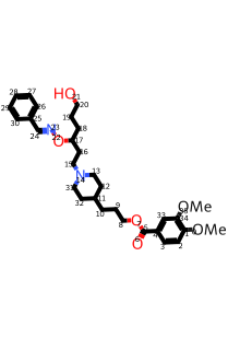 COc1ccc(C(=O)OCCCC2CCN(CCC(CCCO)O/N=C/c3ccccc3)CC2)cc1OC